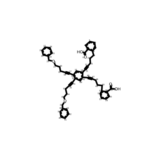 O=C(O)c1ccccc1CCCC#Cc1cc(C#CCCCOCc2ccccc2)c(C#CCCCOCc2ccccc2)cc1C#CCCCc1ccccc1C(=O)O